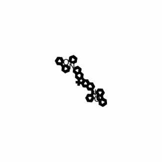 CC1(C)c2cc3cc(N(c4ccccc4)c4cccc5c4oc4ccccc45)ccc3cc2-c2cc3ccc(N(c4ccccc4)c4cccc5c4oc4ccccc45)cc3cc21